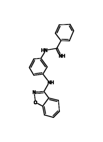 N=C(Nc1cccc(Nc2noc3ccccc23)c1)c1ccccc1